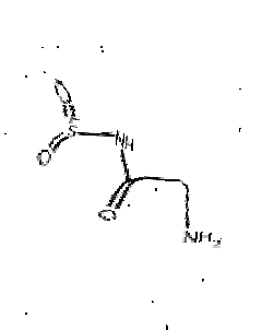 NCC(=O)N[SH](=O)=O